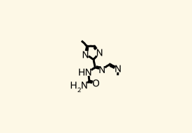 C/N=C\N=C(\NC(N)=O)C1N=CC(C)=N1